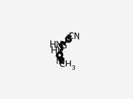 Cn1cc2cc(N/C=C3/SC(C4CCB(C#N)CC4)=CC3=N)ccc2n1